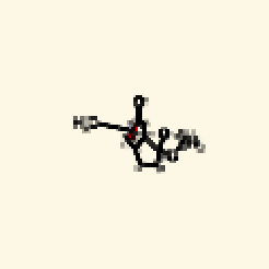 C/C1=C/C(=O)C2CCCC3(CC1)CCC(OP)(OP)C23